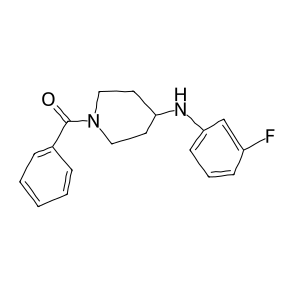 O=C(c1ccccc1)N1CCC(Nc2cccc(F)c2)CC1